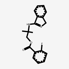 CC(C)(COC(=O)c1ccccc1F)NC1=NCc2ccccc21